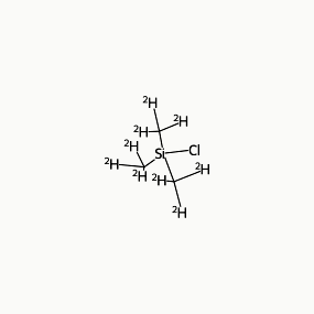 [2H]C([2H])([2H])[Si](Cl)(C([2H])([2H])[2H])C([2H])([2H])[2H]